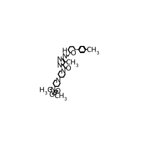 Cc1ccc([C@@H]2CCC[C@H](CNc3ncnc(C(=O)N4CCC(N5CCC(N(C)S(C)(=O)=O)CC5)CC4)c3C)O2)cc1